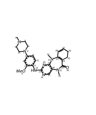 COc1cc(N2CCN(C)CC2)ccc1Nc1ncc2c(n1)N(C)C1=C(CCC=C1)C(=O)N2C